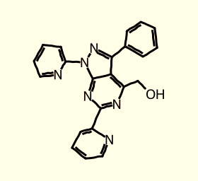 OCc1nc(-c2ccccn2)nc2c1c(-c1ccccc1)nn2-c1ccccn1